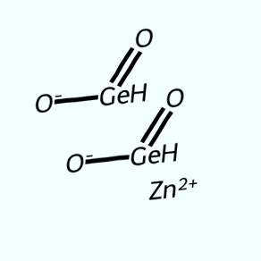 [O]=[GeH][O-].[O]=[GeH][O-].[Zn+2]